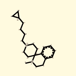 CN1CCc2ccccc2C12CCN(CCCCC1CC1)CC2